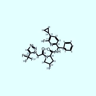 O=C(NC(c1ccccc1)c1ccc(C2CC2)c(F)n1)C1CC(F)CN1C(=O)Cn1nncc1C(F)(F)F